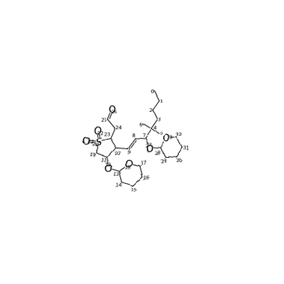 CCCCC(C)(C)C(/C=C/C1C(OC2CCCCO2)CS(=O)(=O)C1CC=O)OC1CCCCO1